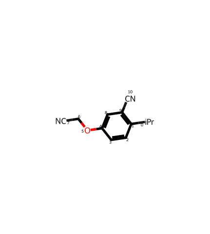 CC(C)c1ccc(OCC#N)cc1C#N